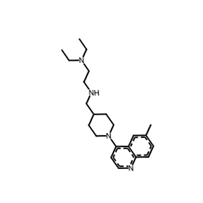 CCN(CC)CCNCC1CCN(c2ccnc3ccc(C)cc23)CC1